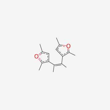 C/C(=C(\C)c1cc(C)oc1C)c1cc(C)oc1C